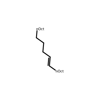 [CH2]CCCCCCCCCC/C=C/CCCCCCCC